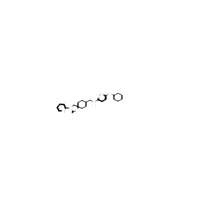 O=C1OC2(CCC(CNc3ccc(OC4CCCCC4)nn3)CC2)CN1c1ccccn1